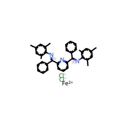 Cc1cc(C)c(/N=C(\c2ccccc2)c2cccc(/C(=N/c3c(C)cc(C)cc3C)c3ccccc3)n2)c(C)c1.[Cl-].[Cl-].[Fe+2]